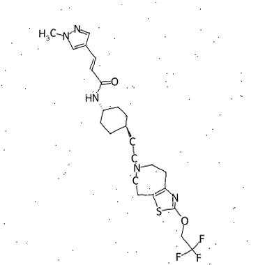 Cn1cc(/C=C/C(=O)N[C@H]2CC[C@H](CCN3CCc4nc(OCC(F)(F)F)sc4CC3)CC2)cn1